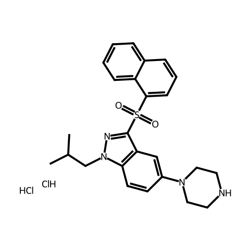 CC(C)Cn1nc(S(=O)(=O)c2cccc3ccccc23)c2cc(N3CCNCC3)ccc21.Cl.Cl